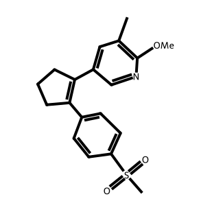 COc1ncc(C2=C(c3ccc(S(C)(=O)=O)cc3)CCC2)cc1C